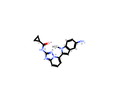 Cn1c(-c2cccc3nc(NC(=O)C4CC4)nn23)cc2cc(N)ccc21